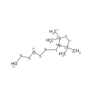 CS1(C)CCS(C)(C)N1CCCOCCO